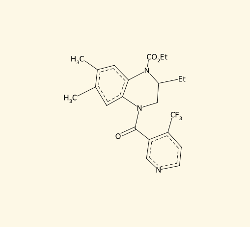 CCOC(=O)N1c2cc(C)c(C)cc2N(C(=O)c2cnccc2C(F)(F)F)CC1CC